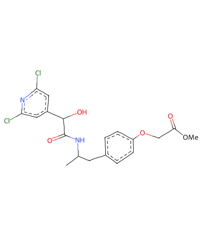 COC(=O)COc1ccc(CC(C)NC(=O)C(O)c2cc(Cl)nc(Cl)c2)cc1